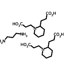 NCCCN.O=C(O)CCC1CCCCN1CCC(=O)O.O=C(O)CCC1CCCCN1CCC(=O)O